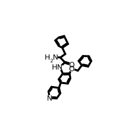 NC(Cc1ccccc1)C(=O)Nc1cc(-c2ccncc2)ccc1OCc1ccccc1